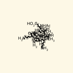 CC[C@H](C)[C@H](NC(=O)[C@H](CCC(=O)O)NC(C)=O)C(=O)N[C@H](C(=O)N[C@H](C(=O)N[C@@H](CCCCN)C(=O)N[C@@H](CC(N)=O)C(=O)N[C@@H](CC(C)C)C(=O)N[C@@H](CCCCN)C(N)=O)[C@@H](C)O)[C@@H](C)O